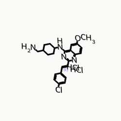 COc1ccc2nc(/C=C/c3ccc(Cl)cc3)nc(NC3CCC(CN)CC3)c2c1.Cl.Cl